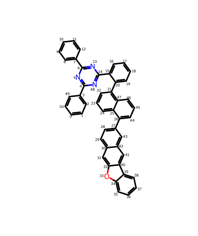 c1ccc(-c2nc(-c3ccccc3)nc(-c3ccccc3-c3cccc4c(-c5ccc6cc7oc8ccccc8c7cc6c5)cccc34)n2)cc1